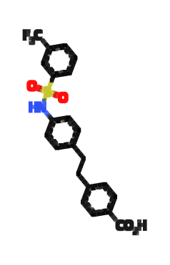 O=C(O)c1ccc(CCc2ccc(NS(=O)(=O)c3cccc(C(F)(F)F)c3)cc2)cc1